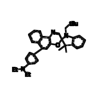 CCN(CC)c1ccc(-c2cc3c(c4ccccc24)N=CC2(O3)N(CC(C)(C)C)c3ccccc3C2(C)C)cc1